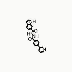 O=C(NNC(=O)c1ccc2cc[nH]c2c1)c1ccc(-c2cccnc2)cc1